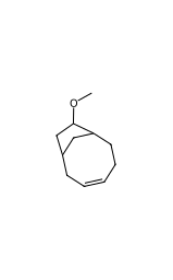 COC1CC2CC=CCCC1C2